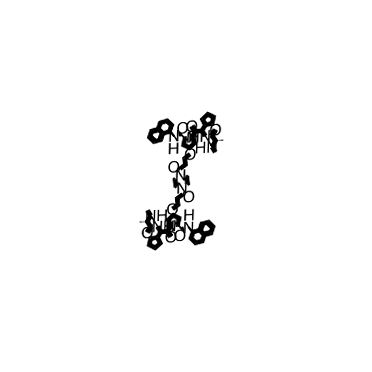 CN[C@@H](C)C(=O)NC(C(=O)N1C[C@@H](OCCC(=O)N2CCN(C(=O)CCO[C@H]3C[C@@H](C(=O)N[C@@H]4CCCc5ccccc54)N(C(=O)C(NC(=O)[C@H](C)NC)C4CCCC4)C3)CC2)C[C@H]1C(=O)N[C@@H]1CCCc2ccccc21)C1CCCC1